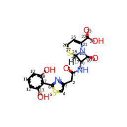 O=C(Cc1csc(-c2c(O)cccc2O)n1)N[C@@H]1C(=O)N2C(C(=O)O)=CCS[C@H]12